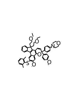 CCOCCC1(CCOCC)c2ccccc2-c2c1c1c(c3cc(OC)c(Sc4c(C)cccc4C)cc23)OC(c2ccc(OC)cc2)(c2ccc(N3CCOCC3)cc2)C=C1